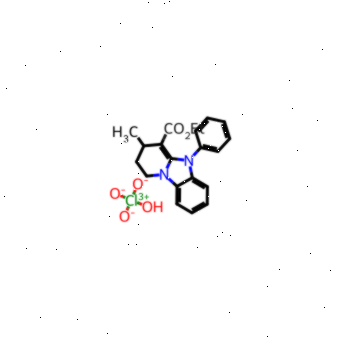 CCOC(=O)C1=C2N(CCC1C)c1ccccc1N2c1ccccc1.[O-][Cl+3]([O-])([O-])O